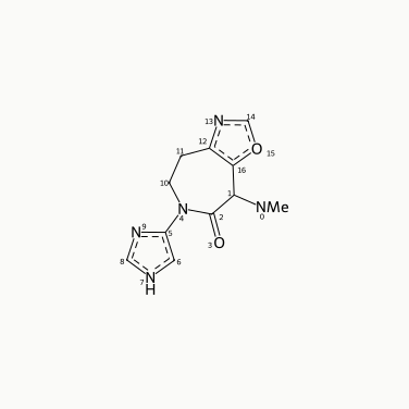 CNC1C(=O)N(c2c[nH]cn2)CCc2ncoc21